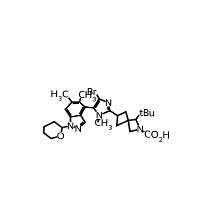 Cc1cc2c(cnn2C2CCCCO2)c(-c2c(Br)nc(C3CC4(C3)CN(C(=O)O)C4C(C)(C)C)n2C)c1C